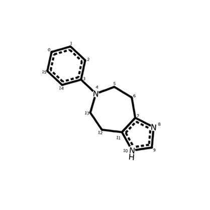 c1ccc(N2CCc3nc[nH]c3CC2)cc1